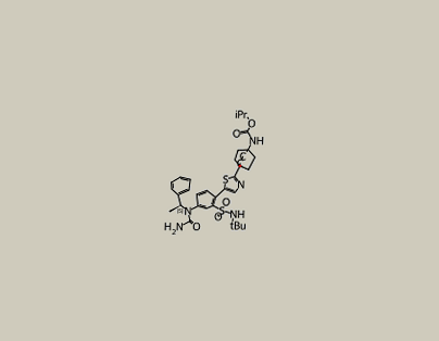 CC(C)OC(=O)NC12CCC(c3ncc(-c4ccc(N(C(N)=O)[C@@H](C)c5ccccc5)cc4S(=O)(=O)NC(C)(C)C)s3)(CC1)CC2